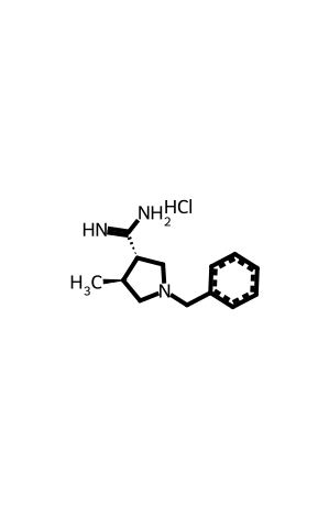 C[C@@H]1CN(Cc2ccccc2)C[C@H]1C(=N)N.Cl